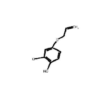 C=CCOc1ccc(O)c(Cl)c1